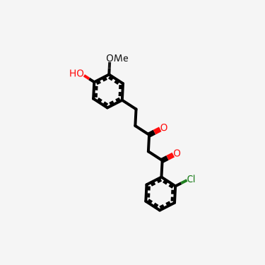 COc1cc(CCC(=O)CC(=O)c2ccccc2Cl)ccc1O